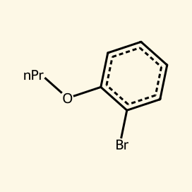 CCCOc1ccccc1Br